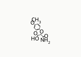 COc1ccc(OC(C(N)=O)C(=O)O)cc1